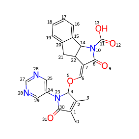 CC1=C(C)C(OC=C2C(=O)N(C(=O)O)C3c4ccccc4CC23)N(c2cncnc2)C1=O